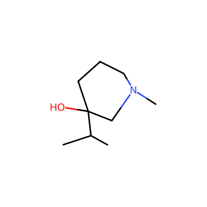 CC(C)C1(O)CCCN(C)C1